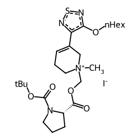 CCCCCCOc1nsnc1C1=CCC[N+](C)(COC(=O)[C@@H]2CCCN2C(=O)OC(C)(C)C)C1.[I-]